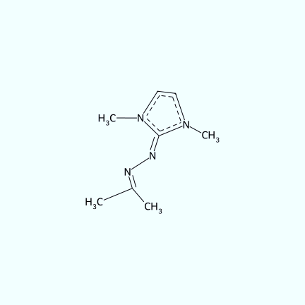 CC(C)=NN=c1n(C)ccn1C